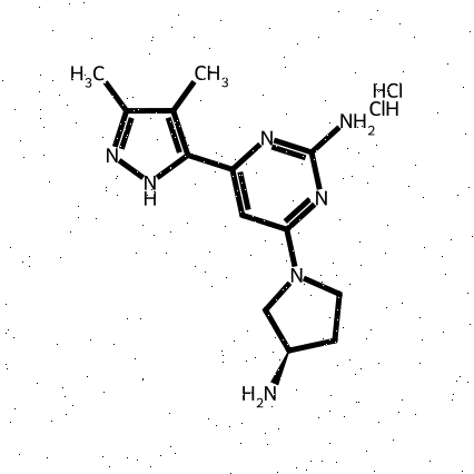 Cc1n[nH]c(-c2cc(N3CC[C@@H](N)C3)nc(N)n2)c1C.Cl.Cl